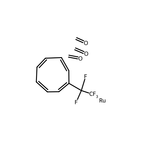 C=O.C=O.C=O.FC(F)(F)C(F)(F)C1=C/C=C\C=C/C=C\1.[Ru]